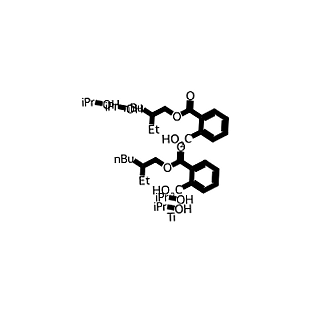 CC(C)O.CC(C)O.CC(C)O.CC(C)O.CCCCC(CC)COC(=O)c1ccccc1C(=O)O.CCCCC(CC)COC(=O)c1ccccc1C(=O)O.[Ti]